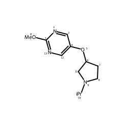 COc1ncc(OC2CCN(C(C)C)C2)cn1